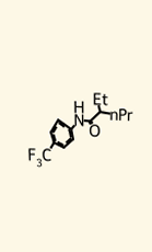 CCCC(CC)C(=O)Nc1ccc(C(F)(F)F)cc1